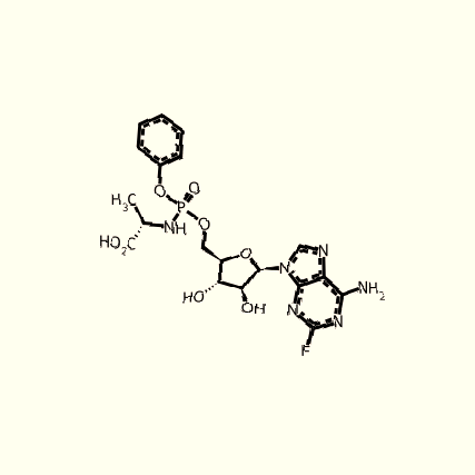 C[C@H](NP(=O)(OC[C@H]1O[C@@H](n2cnc3c(N)nc(F)nc32)[C@@H](O)[C@@H]1O)Oc1ccccc1)C(=O)O